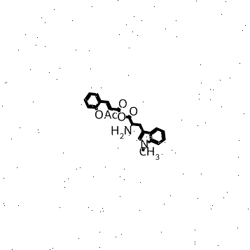 CC(=O)Oc1ccccc1C=CC(=O)OC(=O)[C@@H](N)Cc1cn(C)c2ccccc12